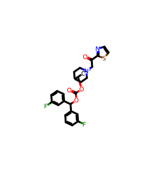 O=C(OC(c1cccc(F)c1)c1cccc(F)c1)OC1C[N+]2(CC(=O)c3nccs3)CCC1CC2